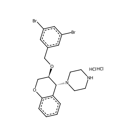 Brc1cc(Br)cc(CO[C@@H]2COc3ccccc3[C@H]2N2CCNCC2)c1.Cl.Cl